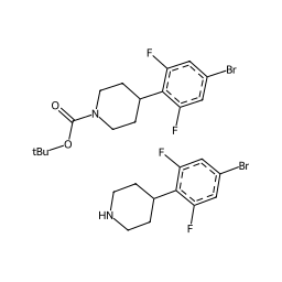 CC(C)(C)OC(=O)N1CCC(c2c(F)cc(Br)cc2F)CC1.Fc1cc(Br)cc(F)c1C1CCNCC1